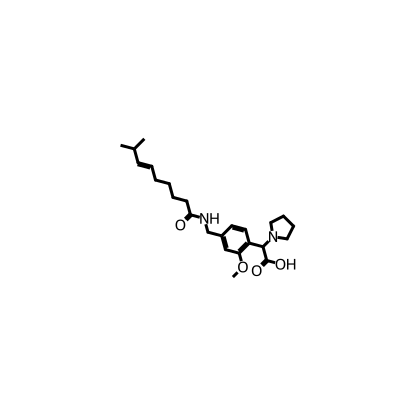 COc1cc(CNC(=O)CCCCC=CC(C)C)ccc1C(C(=O)O)N1CCCC1